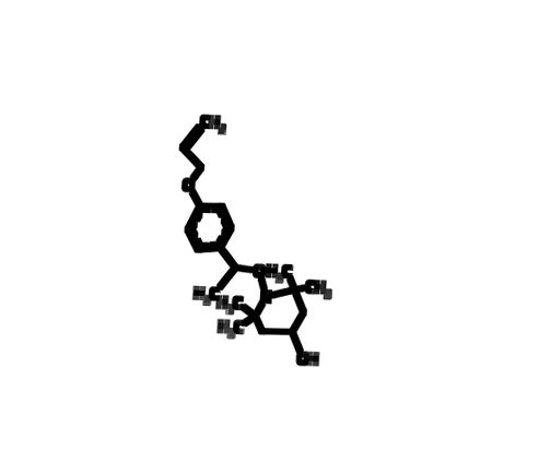 C=CCOc1ccc(C(C)ON2C(C)(C)CC(O)CC2(C)C)cc1